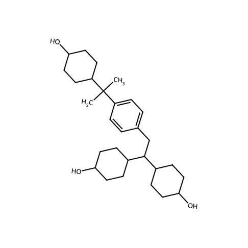 CC(C)(c1ccc(CC(C2CCC(O)CC2)C2CCC(O)CC2)cc1)C1CCC(O)CC1